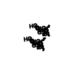 C=CCc1cc(CC=C)c(OC(C)C)c(C=CC(=O)c2ccc(O)cc2)c1O.CC=CCc1cc(CC=CC)c(OC(C)C)c(C=CC(=O)c2ccc(O)cc2)c1O